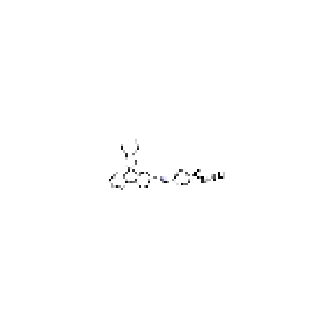 CCCCC1(CCCC)c2cc(C)ccc2-c2ccc(/C=C/c3ccc(ON=[N+]=[N-])cc3)cc21